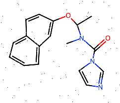 CC(Oc1ccc2ccccc2c1)N(C)C(=O)n1ccnc1